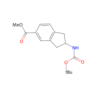 COC(=O)c1ccc2c(c1)CC(NC(=O)OC(C)(C)C)C2